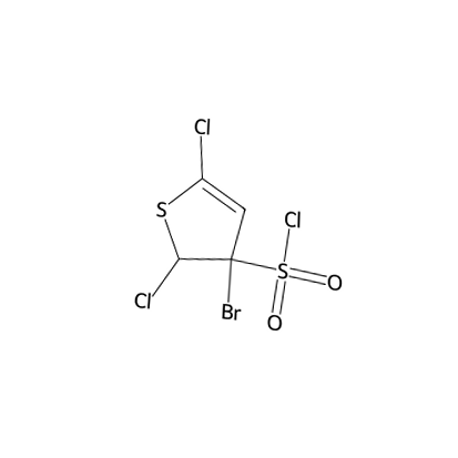 O=S(=O)(Cl)C1(Br)C=C(Cl)SC1Cl